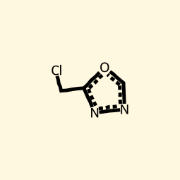 ClCc1nnco1